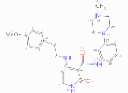 COc1ccc(CCNc2cc[nH]c(=O)c2C(=O)Nc2cccc(N3CCN(C)CC3)c2)cc1